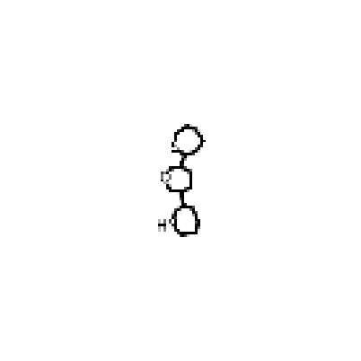 C1CCSC(C2CCC(C3CCCCNC3)COC2)CC1